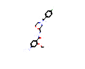 [2H]C([2H])(c1ccc(F)cc1)N1CCOC(CNC(=O)c2ccc(N)cc2OCC)C1